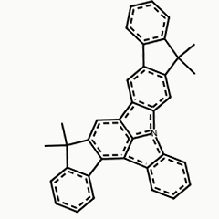 CC1(C)c2ccccc2-c2cc3c4cc5c(c6c7ccccc7n(c3cc21)c46)-c1ccccc1C5(C)C